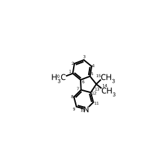 Cc1cccc2c1-c1ccncc1C2(C)C